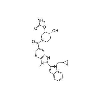 Cn1c(-c2cc3ccccc3n2CC2CC2)nc2cc(C(=O)N3CC[C@@H](O)[C@@H](OC(N)=O)C3)ccc21